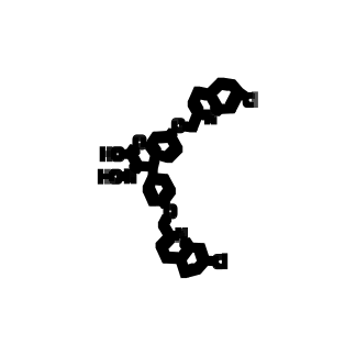 O=C(O)C(=NO)C(c1ccc(OCc2ccc3ccc(Cl)cc3n2)cc1)c1ccc(OCc2ccc3ccc(Cl)cc3n2)cc1